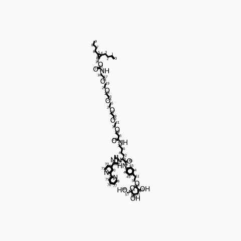 C=CCCC1C(CCCC)[C@@H]1COC(=O)NCCOCCOCCOCCOCCOCCOCCC(=O)NCCCC[C@@H](C(=O)Nc1ccc(CCO[C@@H]2O[C@H](CO)[C@@H](O)C[C@H]2O)cc1)n1cc(-c2ccnc(-c3ccccn3)c2)nn1